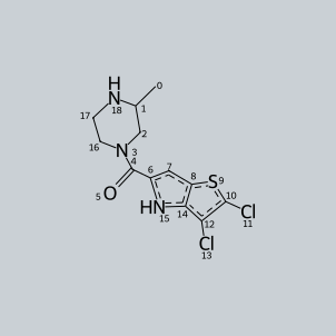 CC1CN(C(=O)c2cc3sc(Cl)c(Cl)c3[nH]2)CCN1